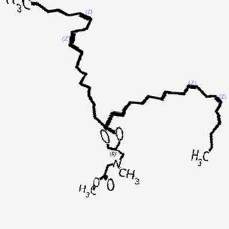 CCCCC/C=C\C/C=C\CCCCCCCCC1(CCCCCCCC/C=C\C/C=C\CCCCC)OC[C@H](CN(C)CC(=O)OC)O1